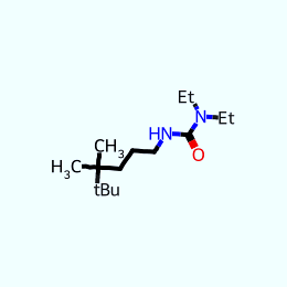 CCN(CC)C(=O)NCCCC(C)(C)C(C)(C)C